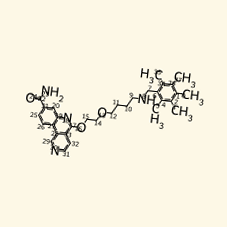 Cc1c(C)c(C)c(CNCCCCOCCOc2nc3cc(C(N)=O)ccc3c3cnccc23)c(C)c1C